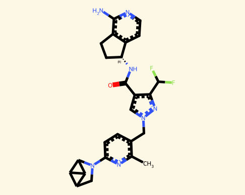 Cc1nc(N2CC3C4C3C42)ccc1Cn1cc(C(=O)N[C@@H]2CCc3c2ccnc3N)c(C(F)F)n1